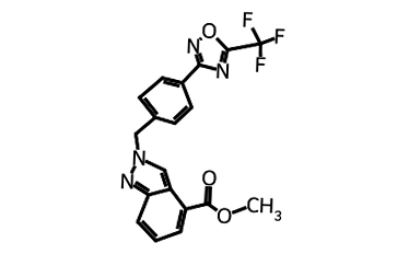 COC(=O)c1cccc2nn(Cc3ccc(-c4noc(C(F)(F)F)n4)cc3)cc12